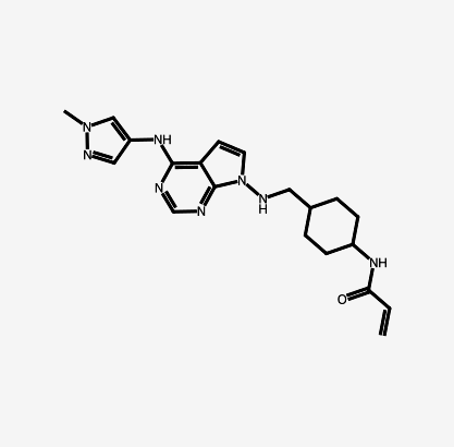 C=CC(=O)NC1CCC(CNn2ccc3c(Nc4cnn(C)c4)ncnc32)CC1